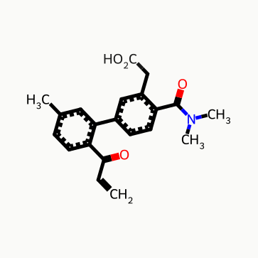 C=CC(=O)c1ccc(C)cc1-c1ccc(C(=O)N(C)C)c(CC(=O)O)c1